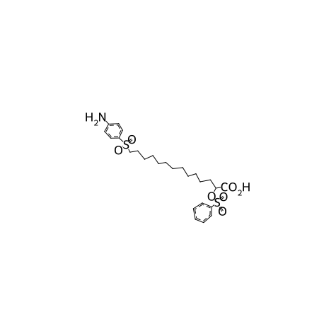 Nc1ccc(S(=O)(=O)CCCCCCCCCCCCC(OS(=O)(=O)c2ccccc2)C(=O)O)cc1